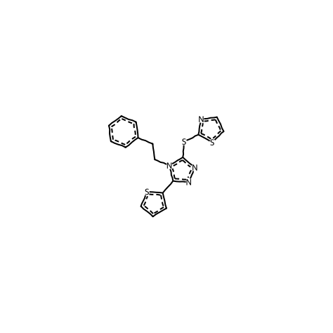 c1ccc(CCn2c(Sc3nccs3)nnc2-c2cccs2)cc1